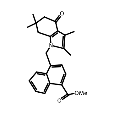 COC(=O)c1ccc(Cn2c(C)c(C)c3c2CC(C)(C)CC3=O)c2ccccc12